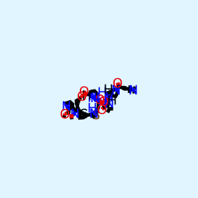 CCn1c(-c2cccnc2[C@H](C)OC)c2c3cc(ccc31)-c1csc(n1)C[C@H](NC(=O)[C@H](C(C)C)N(C)C(=O)N1C[C@H]3CN(C(=O)C#CC(C)(C)N(C)C)CC[C@H]31)C(=O)N1CCC[C@H](N1)C(=O)OCC(C)(C)C2